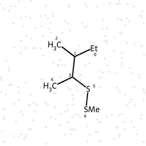 CCC(C)C(C)SSC